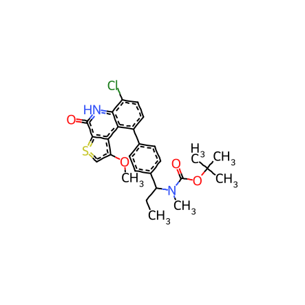 CCC(c1ccc(-c2ccc(Cl)c3[nH]c(=O)c4scc(OC)c4c23)cc1)N(C)C(=O)OC(C)(C)C